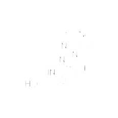 Cc1cc2nc(N[C@@H](C)c3ccccn3)nc(C(=O)NCCO)c2s1